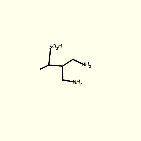 CC(C(CN)CN)S(=O)(=O)O